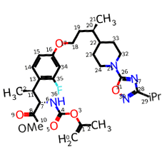 C=C(C)OC(=O)N[C@H](C(=O)OC)[C@@H](C)c1ccc(OCC[C@@H](C)C2CCN(c3nc(C(C)C)no3)CC2)cc1F